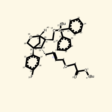 CC(C)(C)OC(=O)COC/C=C/C[C@H]1[C@H](CO[Si](c2ccccc2)(c2ccccc2)C(C)(C)C)[C@@H]2C[C@@]1(c1ccc(F)cc1)CO2